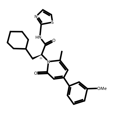 COc1cccc(-c2cc(C)n([C@@H](CC3CCCCC3)C(=O)Nc3nccs3)c(=O)c2)c1